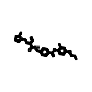 C=C/C(=C\Cn1cccc1C)C(=O)NCc1ccc(C(=C)Oc2ccc(OCCC)cc2C)cc1